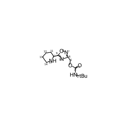 CC(C)(C)NC(=O)OCc1noc([C@@H]2CCCCN2)n1